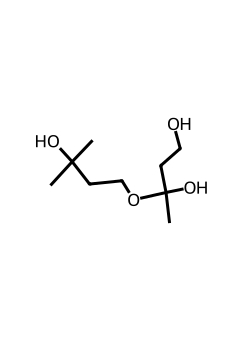 CC(C)(O)CCOC(C)(O)CCO